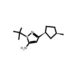 C[C@@H]1CC[C@H](c2cc(N)n(C(C)(C)C)n2)C1